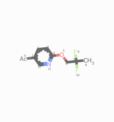 CC(=O)c1ccc(OCC(C)(F)F)nc1